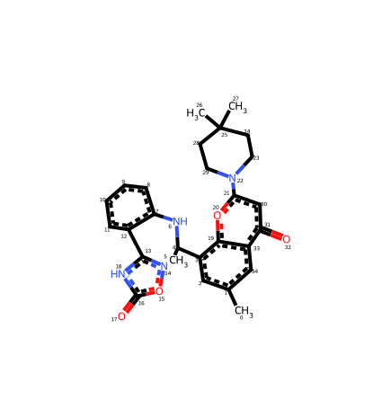 Cc1cc(C(C)Nc2ccccc2-c2noc(=O)[nH]2)c2oc(N3CCC(C)(C)CC3)cc(=O)c2c1